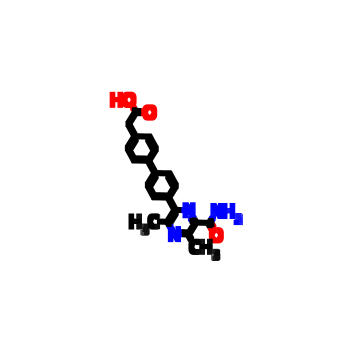 Cc1nc(C)c(-c2ccc(-c3ccc(CC(=O)O)cc3)cc2)nc1C(N)=O